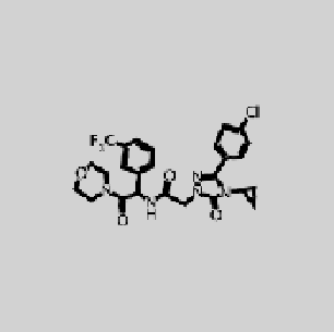 O=C(Cn1nc(-c2ccc(Cl)cc2)n(C2CC2)c1=O)NC(C(=O)N1CCOCC1)c1cccc(C(F)(F)F)c1